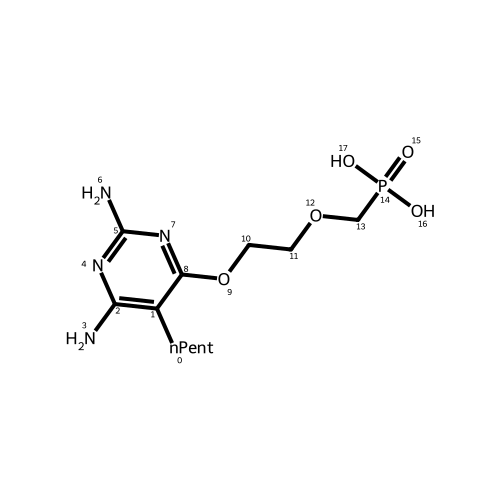 CCCCCc1c(N)nc(N)nc1OCCOCP(=O)(O)O